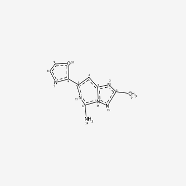 Cc1nc2cc(-c3ncco3)nc(N)n2n1